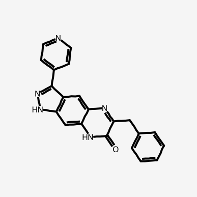 O=c1[nH]c2cc3[nH]nc(-c4ccncc4)c3cc2nc1Cc1ccccc1